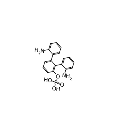 Nc1ccccc1-c1cccc(OP(=O)(O)O)c1-c1ccccc1N